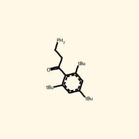 CC(C)(C)c1cc(C(C)(C)C)c(C(=O)CCP)c(C(C)(C)C)c1